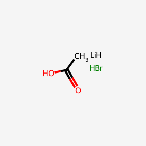 Br.CC(=O)O.[LiH]